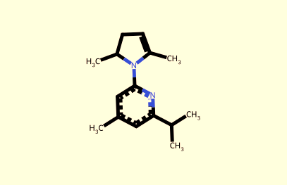 CC1=CCC(C)N1c1cc(C)cc(C(C)C)n1